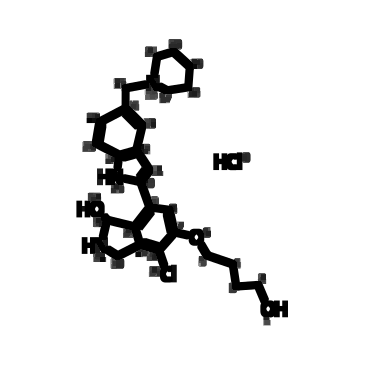 Cl.OCCCCOc1cc(-c2cc3cc(CN4CCCCC4)ccc3[nH]2)c2c(c1Cl)CNC2O